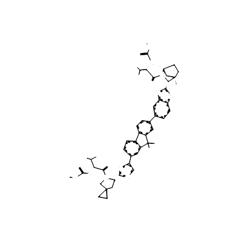 COC(=O)N[C@H](C(=O)N1[C@@H]2CC[C@@H](C2)[C@H]1c1nc2ccc(-c3ccc4c(c3)C(F)(F)c3cc(-c5cnc([C@@H]6CC7(CC7)CN6C(=O)[C@H](NC(=O)OC)C(C)C)[nH]5)ccc3-4)cc2[nH]1)C(C)C